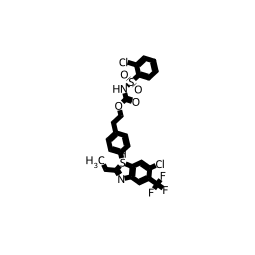 CCC1=Nc2cc(C(F)(F)F)c(Cl)cc2[SH]1c1ccc(CCOC(=O)NS(=O)(=O)c2ccccc2Cl)cc1